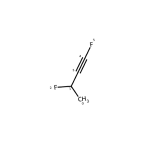 C[C](F)C#CF